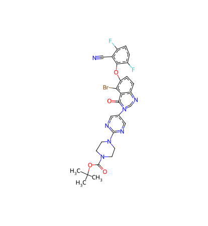 CC(C)(C)OC(=O)N1CCN(c2ncc(-n3cnc4ccc(Oc5c(F)ccc(F)c5C#N)c(Br)c4c3=O)cn2)CC1